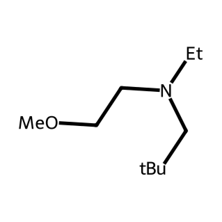 CCN(CCOC)CC(C)(C)C